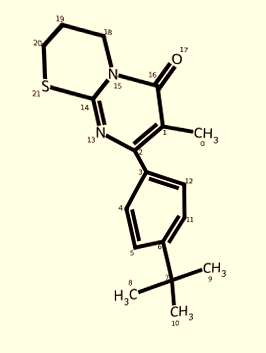 Cc1c(-c2ccc(C(C)(C)C)cc2)nc2n(c1=O)CCCS2